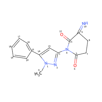 Cn1nc(N2C(=O)CCC(=N)C2=O)cc1-c1ccccc1